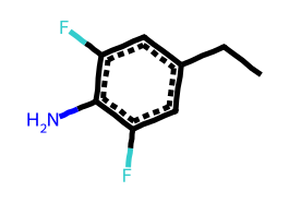 CCc1cc(F)c(N)c(F)c1